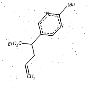 C=CCC(C(=O)OCC)c1cnc(C(C)(C)C)nc1